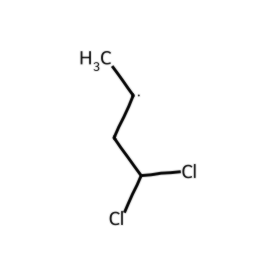 C[CH]CC(Cl)Cl